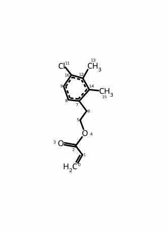 C=CC(=O)OCCc1ccc(Cl)c(C)c1C